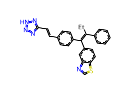 CCC(=C(c1ccc(C=Cc2nn[nH]n2)cc1)c1ccc2scnc2c1)c1ccccc1